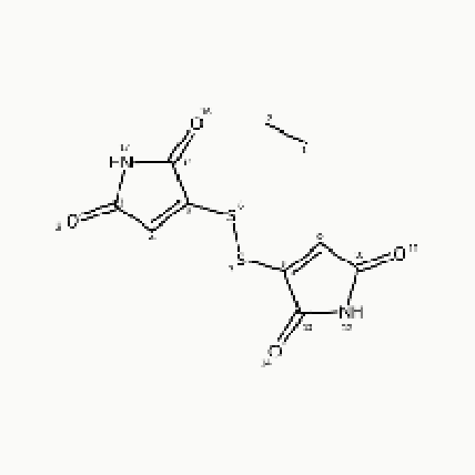 CC.O=C1C=C(SSC2=CC(=O)NC2=O)C(=O)N1